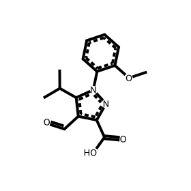 COc1ccccc1-n1nc(C(=O)O)c(C=O)c1C(C)C